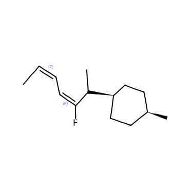 C/C=C\C=C(\F)C(C)[C@H]1CC[C@@H](C)CC1